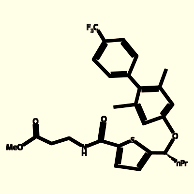 CCC[C@@H](Oc1cc(C)c(-c2ccc(C(F)(F)F)cc2)c(C)c1)c1ccc(C(=O)NCCC(=O)OC)s1